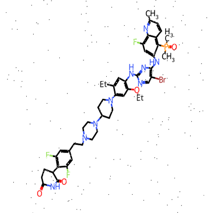 CCOc1cc(N2CCC(N3CCN(CCc4cc(F)c(C5CCC(=O)NC5=O)c(F)c4)CC3)CC2)c(CC)cc1Nc1ncc(Br)c(Nc2cc(F)c3nc(C)ccc3c2P(C)(C)=O)n1